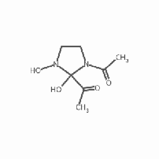 CC(=O)N1CCN(O)C1(O)C(C)=O